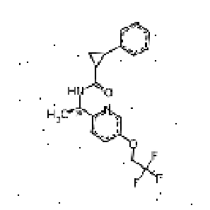 C[C@@H](NC(=O)C1CC1c1ccccc1)c1ccc(OCC(F)(F)F)cn1